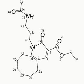 CCOC(=O)c1cc2c(n(CCCNC(C)=O)c1=O)CCCCCC2